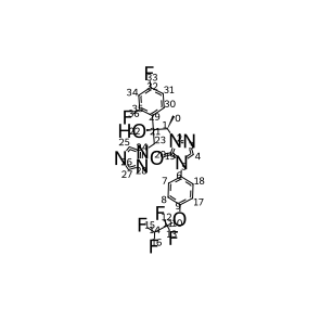 C[C@@H](n1ncn(-c2ccc(OC(F)(F)C(F)F)cc2)c1=O)[C@](O)(Cn1cncn1)c1ccc(F)cc1F